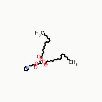 CCCCC/C=C\C/C=C\CCCCCCCC(=O)OCC(COC(=O)CCCCCCC/C=C\C/C=C\CCCCC)COC(=O)CCCN1CCCCC1